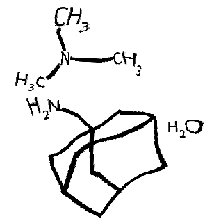 CN(C)C.NC12CC3CC(CC(C3)C1)C2.O